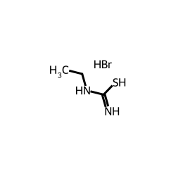 Br.CCNC(=N)S